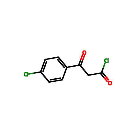 O=C(Cl)CC(=O)c1ccc(Cl)cc1